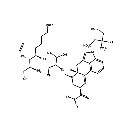 C=O.CCCC(O)C(CC)CO.CCCCCCCCCCCCCC[C@@H](O)[C@@H](O)[C@@H](N)CO.CCN(CC)C(=O)[C@@H]1C=C2c3cccc4[nH]cc(c34)C[C@H]2N(C)C1.O=C(O)CC(O)(CC(=O)O)C(=O)O